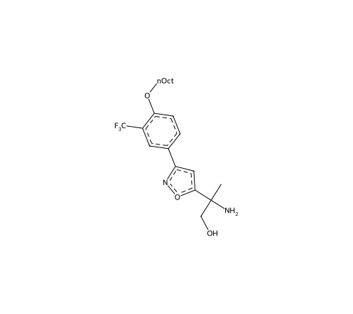 CCCCCCCCOc1ccc(-c2cc(C(C)(N)CO)on2)cc1C(F)(F)F